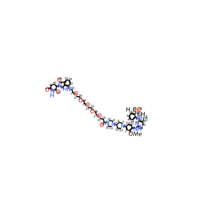 COc1cc(N2CCC(N3CCN(C(=O)CCOCCOCCOCCOCCOCCNc4cccc5c4CN(C4CCC(=O)NC4=O)C5=O)CC3)CC2)ccc1Nc1ncc(Cl)c(Nc2ccccc2P(C)(C)=O)n1